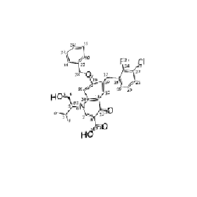 CC(C)[C@@H](CO)n1cc(C(=O)O)c(=O)c2cc(Cc3cccc(Cl)c3F)c(OCc3ccccc3)cc21